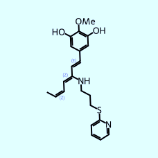 C\C=C/C=C(/C=C/c1cc(O)c(OC)c(O)c1)NCCCSc1ccccn1